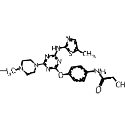 CCC(=O)Nc1ccc(Oc2nc(Nc3ncc(C)s3)nc(N3CCN(C)CC3)n2)cc1